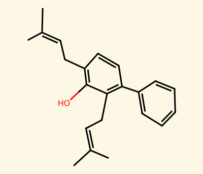 CC(C)=CCc1ccc(-c2ccccc2)c(CC=C(C)C)c1O